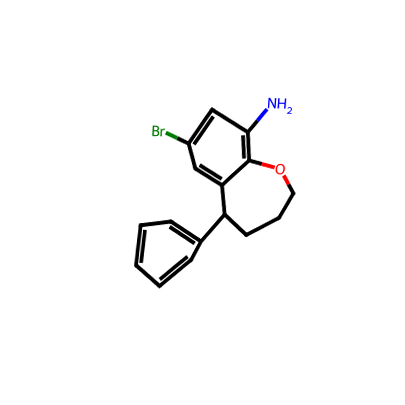 Nc1cc(Br)cc2c1OCCCC2c1ccccc1